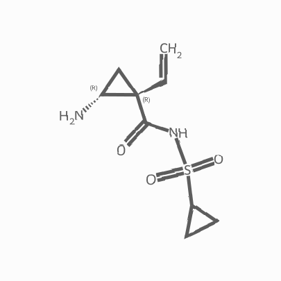 C=C[C@]1(C(=O)NS(=O)(=O)C2CC2)C[C@H]1N